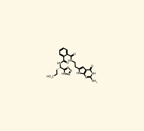 Nc1nc2[nH]c(CCNC(=O)c3ccccc3C(=O)N[C@@H](CCC(=O)O)c3nnn[nH]3)cc2c(=O)[nH]1